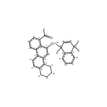 CC(=O)c1cccc2c1c(Cl)cc1c3c(ccc12)CCCC3.CC1(C)C=CC(C)(C)c2ccccc21